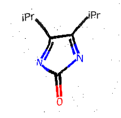 CC(C)C1=NC(=O)N=C1C(C)C